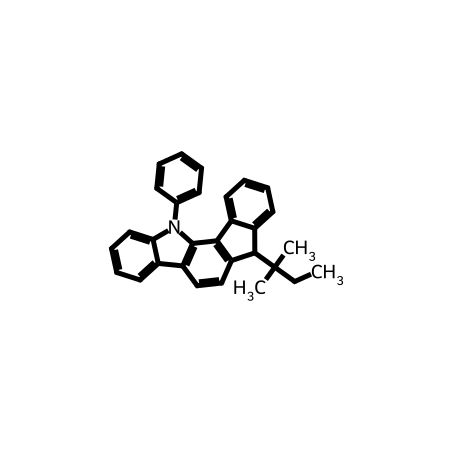 CCC(C)(C)C1c2ccccc2-c2c1ccc1c3ccccc3n(-c3ccccc3)c21